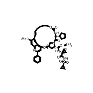 C=C[C@@H]1C[C@]1(NC(=O)[C@@H]1C[C@@H]2CN1C(=O)[C@H](C1CCCC1)NC(=O)OCCCC/C=C/c1cc3c(cc(-c4ccccc4)nc3cc1OC)O2)C(=O)NS(=O)(=O)C1CC1